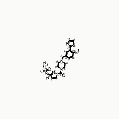 CS(=O)(=O)Nc1ccn(C(=O)N2CCN(Cc3ccc(Cl)c(-c4nccs4)c3)CC2)n1